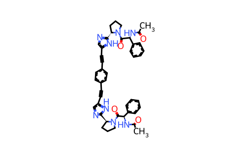 CC(=O)N[C@@H](C(=O)N1CCC[C@H]1c1ncc(C#Cc2ccc(C#Cc3cnc([C@@H]4CCCN4C(=O)[C@H](NC(C)=O)c4ccccc4)[nH]3)cc2)[nH]1)c1ccccc1